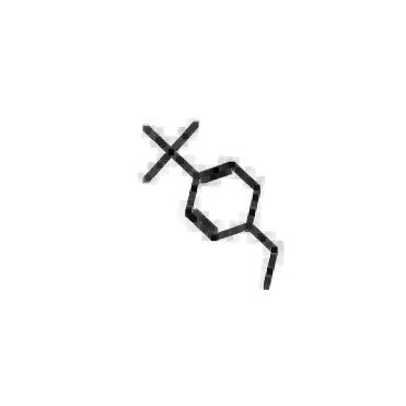 CC[C]1C=CC(C(C)(C)C)=CC1